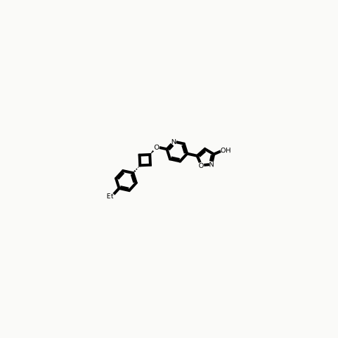 CCc1ccc([C@H]2C[C@@H](Oc3ccc(-c4cc(O)no4)cn3)C2)cc1